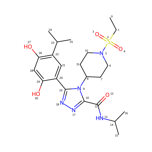 CCS(=O)(=O)N1CCC(n2c(C(=O)NC(C)C)nnc2-c2cc(C(C)C)c(O)cc2O)CC1